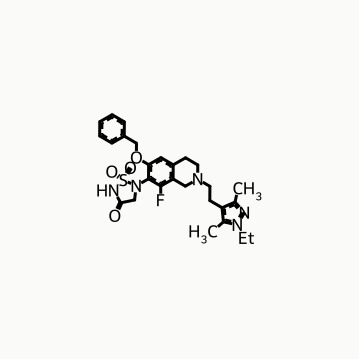 CCn1nc(C)c(CCN2CCc3cc(OCc4ccccc4)c(N4CC(=O)NS4(=O)=O)c(F)c3C2)c1C